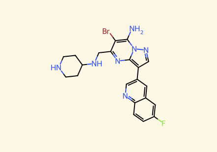 Nc1c(Br)c(CNC2CCNCC2)nc2c(-c3cnc4ccc(F)cc4c3)cnn12